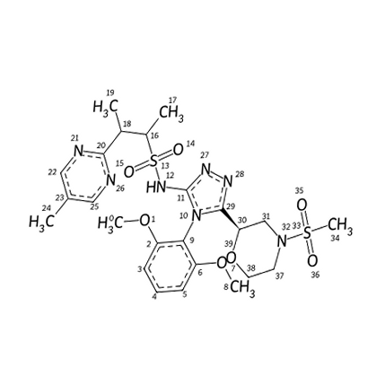 COc1cccc(OC)c1-n1c(NS(=O)(=O)C(C)C(C)c2ncc(C)cn2)nnc1[C@H]1CN(S(C)(=O)=O)CCO1